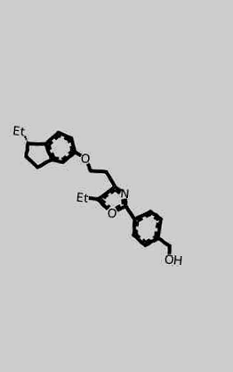 CCc1oc(-c2ccc(CO)cc2)nc1CCOc1ccc2c(c1)CC[C@@H]2CC